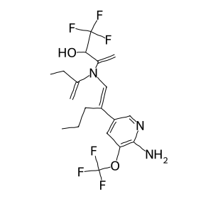 C=C(CC)N(/C=C(\CCC)c1cnc(N)c(OC(F)(F)F)c1)C(=C)C(O)C(F)(F)F